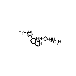 Cc1nc(-c2ccc3ccnc(NC4CC(NC(=O)O)C4)c3c2)no1